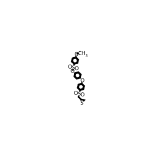 COc1ccc(S(=O)(=O)Oc2ccc(Oc3ccc(S(=O)(=O)CC4CS4)cc3)cc2)cc1